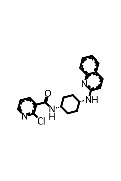 O=C(N[C@H]1CC[C@@H](Nc2ccc3ccccc3n2)CC1)c1cccnc1Cl